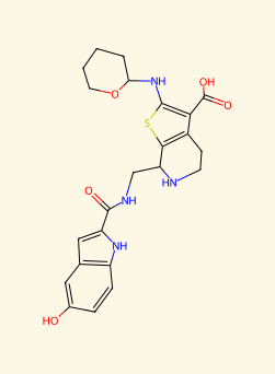 O=C(NCC1NCCc2c1sc(NC1CCCCO1)c2C(=O)O)c1cc2cc(O)ccc2[nH]1